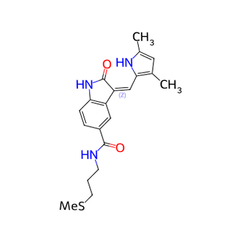 CSCCCNC(=O)c1ccc2c(c1)/C(=C/c1[nH]c(C)cc1C)C(=O)N2